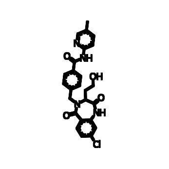 Cc1ccc(NC(=O)c2ccc(CN3C(=O)c4ccc(Cl)cc4NC(=O)C3CCO)cc2)nc1